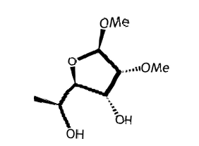 CO[C@@H]1O[C@H]([C@H](C)O)[C@@H](O)[C@H]1OC